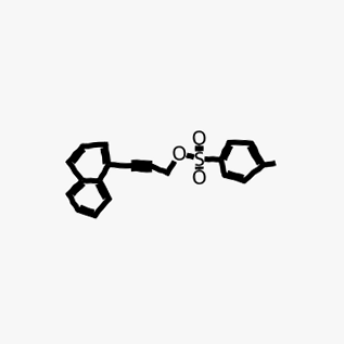 Cc1ccc(S(=O)(=O)OCC#Cc2cccc3ccccc23)cc1